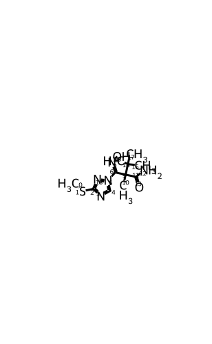 CSc1ncn(C(=NO)C(C)(C(N)=O)C(C)(C)C)n1